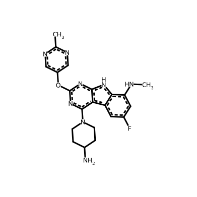 CNc1cc(F)cc2c1[nH]c1nc(Oc3cnc(C)nc3)nc(N3CCC(N)CC3)c12